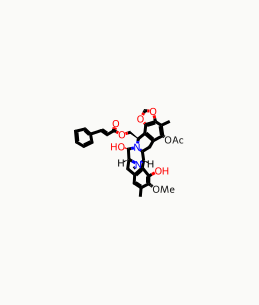 COc1c(C)cc2c(c1O)[C@@H]1C3Cc4c(OC(C)=O)c(C)c5c(c4[C@H](COC(=O)/C=C/c4ccccc4)N3[C@@H](O)[C@H](C2)N1C)OCO5